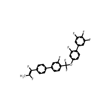 C/C(F)=C(\F)c1ccc(-c2ccc(C(F)(F)Oc3ccc(-c4cc(F)c(F)c(F)c4)c(F)c3)c(F)c2)cc1